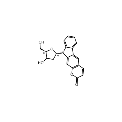 O=c1ccc2cc3c4ccccc4n([C@H]4CC(O)[C@@H](CO)O4)c3cc2o1